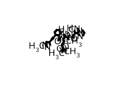 Cc1nn2cccnc2c1C(=O)NC(C)c1nc2cccc(C#Cc3cnn(C)c3)c2c(=O)n1CCS(=O)(=O)N(C)C